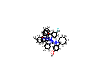 COc1ccc(C2CCCCCCC2)c(NN(c2ccccc2C2(C)CCCC2)N(Nc2ccccc2C2CCCC(C)C2)c2ccc(F)cc2C2(C)CCCCC2)c1